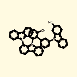 N#Cc1ccc2c3ccccc3n(-c3cccc(-c4c(C#N)cccc4-n4c5ccccc5c5cccc(-n6c7ccccc7c7ccccc76)c54)c3)c2c1